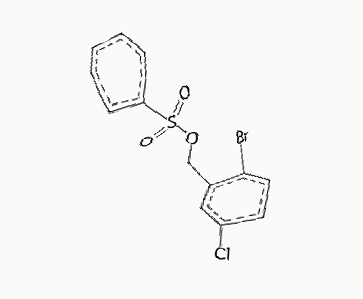 O=S(=O)(OCc1cc(Cl)ccc1Br)c1ccccc1